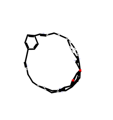 C1=N/CCN2CC/N=C/c3ccc(cc3)/C=N/CCN(CC/N=C/c3ccc/1cc3)CC/N=C/c1ccc(cc1)/C=N/CC2